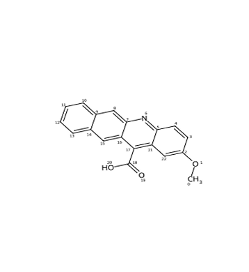 COc1ccc2nc3cc4ccccc4cc3c(C(=O)O)c2c1